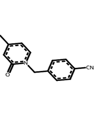 Cc1ccn(Cc2ccc(C#N)cc2)c(=O)c1